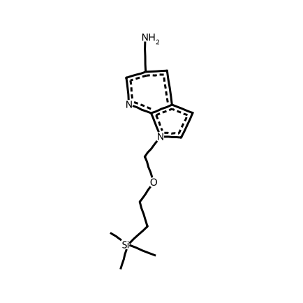 C[Si](C)(C)CCOCn1ccc2cc(N)cnc21